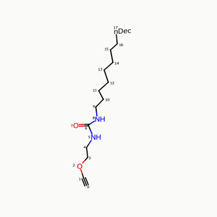 C#COCCNC(=O)NCCCCCCCCCCCCCCCCCC